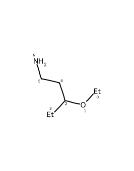 CCOC(CC)CCN